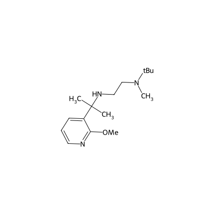 COc1ncccc1C(C)(C)NCCN(C)C(C)(C)C